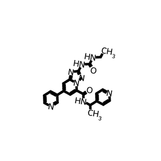 CCNC(=O)Nc1nc2cc(-c3cccnc3)cc(C(=O)NC(C)c3ccncc3)n2n1